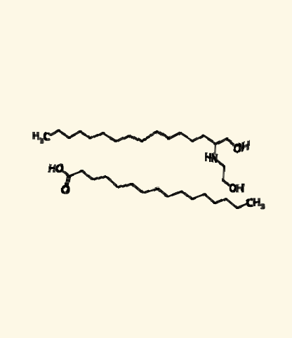 CCCCCCCCCCCCCCC(CO)NCCO.CCCCCCCCCCCCCCCC(=O)O